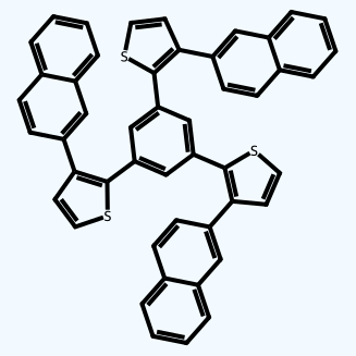 c1ccc2cc(-c3ccsc3-c3cc(-c4sccc4-c4ccc5ccccc5c4)cc(-c4sccc4-c4ccc5ccccc5c4)c3)ccc2c1